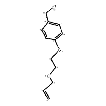 C=CCOCCOc1ccc(CCl)cc1